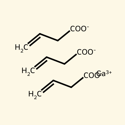 C=CCC(=O)[O-].C=CCC(=O)[O-].C=CCC(=O)[O-].[Ga+3]